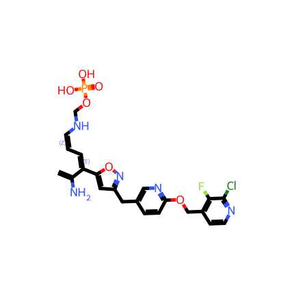 C=C(N)/C(=C\C=C/NCOP(=O)(O)O)c1cc(Cc2ccc(OCc3ccnc(Cl)c3F)nc2)no1